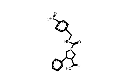 O=C(O)C1CN(C(=O)NCc2ccc([SH](=O)=O)cc2)CC1c1ccccc1